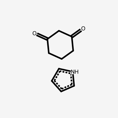 O=C1CCCC(=O)C1.c1cc[nH]c1